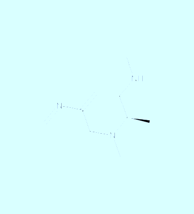 C=NC(=C)CN(C)[C@H](C)CNC